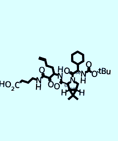 C=CCCC(NC(=O)[C@@H]1[C@@H]2[C@H](CN1C(=O)[C@@H](NC(=O)OC(C)(C)C)C1CCCCC1)C2(C)C)C(=O)C(=O)NCCCC(=O)O